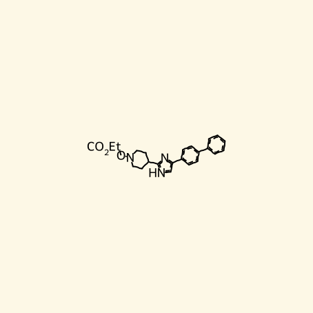 CCOC(=O)ON1CCC(c2nc(-c3ccc(-c4ccccc4)cc3)c[nH]2)CC1